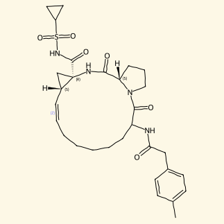 Cc1ccc(CC(=O)NC2CCCCC/C=C\[C@@H]3C[C@@]3(C(=O)NS(=O)(=O)C3CC3)NC(=O)[C@@H]3CCCN3C2=O)cc1